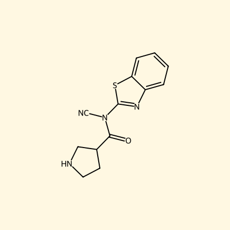 N#CN(C(=O)C1CCNC1)c1nc2ccccc2s1